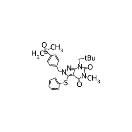 C=S(C)(=O)c1ccc(Cn2nc3c(c2Sc2ccccc2)c(=O)n(C)c(=O)n3CC(C)(C)C)cc1